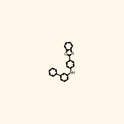 c1ccc(-c2cccc(Nc3ccc(-c4nc5ccccc5o4)cc3)c2)cc1